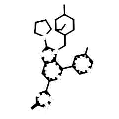 CC1CCC(Cn2c(N3CCC[C@H]3CF)nc3cc(-c4n[nH]c(=O)o4)nc(-c4cncc(Cl)c4)c32)CC1